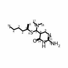 C=C(CCCI)SC(C1CN=C(N)NC1=O)N(C)C